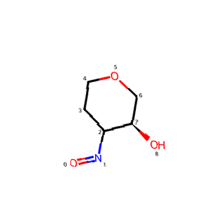 O=NC1CCOC[C@H]1O